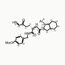 COc1ccc(CNC(=O)[C@H](CCC(=O)C=N)NC(=O)[C@@H]2CC3CCCCC3N2C(C)=O)cc1